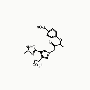 CCCCCCCCc1ccc(OC(C)C(=O)Cn2cc(CCC(=O)O)c(C3=NC(C)NO3)c2)cc1